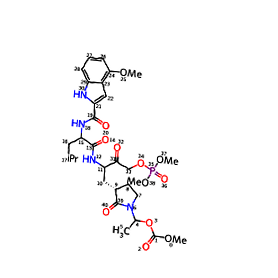 COC(=O)OC(C)N1CC[C@@H](CC(NC(=O)C(CC(C)C)NC(=O)c2cc3c(OC)cccc3[nH]2)C(=O)COP(=O)(OC)OC)C1=O